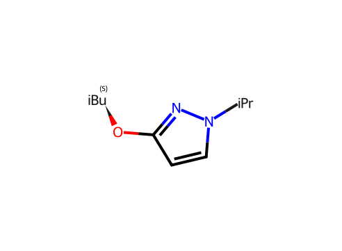 CC[C@H](C)Oc1ccn(C(C)C)n1